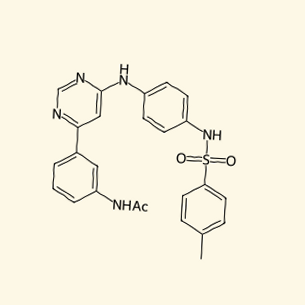 CC(=O)Nc1cccc(-c2cc(Nc3ccc(NS(=O)(=O)c4ccc(C)cc4)cc3)ncn2)c1